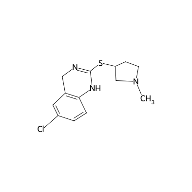 CN1CCC(SC2=NCc3cc(Cl)ccc3N2)C1